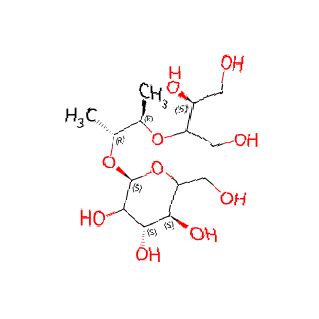 C[C@@H](OC(CO)[C@@H](O)CO)[C@@H](C)O[C@H]1OC(CO)[C@@H](O)[C@H](O)C1O